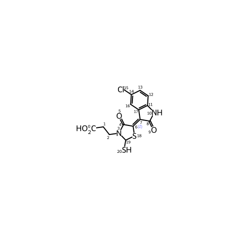 O=C(O)CCN1C(=O)/C(=C2/C(=O)Nc3ccc(Cl)cc32)SC1S